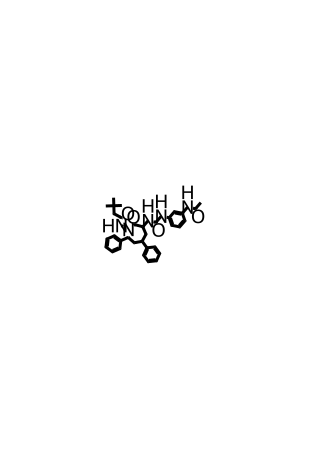 CC(=O)Nc1cccc(NC(=O)NC2CC(c3ccccc3)CC(c3ccccc3)N(NC(=O)CC(C)(C)C)C2=O)c1